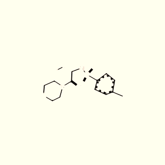 Cc1ccc(S(=O)(=O)N[C@@H](CO)C(=O)N2CCOCC2)cc1